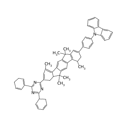 CC1=C2c3cc4c(cc3C(C)(C)C2CC(c2nc(C3=CCCC=C3)nc(C3C=CC=CC3)n2)=C1)C1=C(C=C(c2ccc(-n3c5ccccc5c5ccccc53)cc2)CC1C)C4(C)C